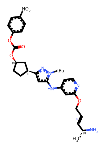 C[C@@H](N)/C=C/COc1cc(Nc2cc([C@H]3CC[C@@H](OC(=O)Oc4ccc([N+](=O)[O-])cc4)C3)nn2C(C)(C)C)ccn1